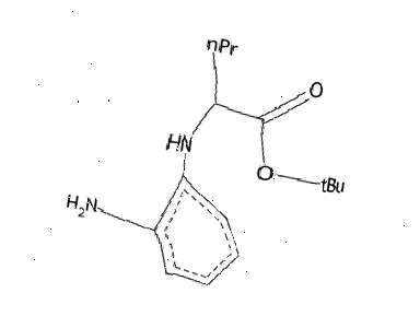 CCCC(Nc1ccccc1N)C(=O)OC(C)(C)C